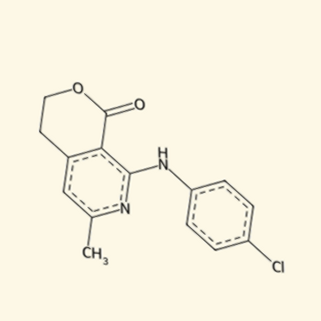 Cc1cc2c(c(Nc3ccc(Cl)cc3)n1)C(=O)OCC2